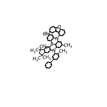 Cc1cc2c3c(c1)N(c1cccc4oc5ccccc5c14)c1cc(C(C)(C)C)ccc1B3c1cc3c(cc1N2c1cc(-c2ccccc2)ccc1C)C(C)(C)CC3(C)C